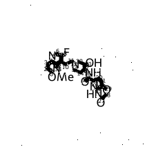 COc1ccc2ncc(F)c(CCN3CC[C@@H](NC(=O)c4ccc5c(n4)NC(=O)CO5)[C@@H](O)C3)c2n1